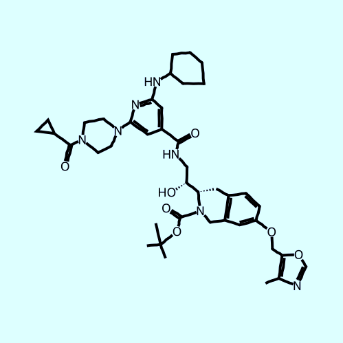 Cc1ncoc1COc1ccc2c(c1)CN(C(=O)OC(C)(C)C)[C@H]([C@H](O)CNC(=O)c1cc(NC3CCCCC3)nc(N3CCN(C(=O)C4CC4)CC3)c1)C2